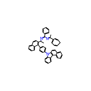 C/C(=N\C(=N/C(C)c1ccc2ccccc2c1-c1ccc(-n2c3ccccc3c3c4ccccc4ccc32)cc1)c1ccccc1)C1=CC=CCC=C1